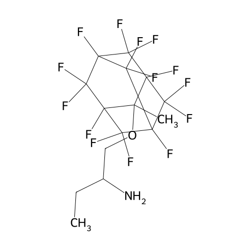 CCC(N)COC1(C)C2(F)C(F)(F)C3(F)C(F)(F)C(F)(C2(F)F)C(F)(F)C1(F)C3(F)F